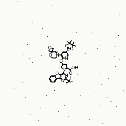 C[C@@H]1N(c2cc(B3OC(C)(C)C(C)(C)O3)cnc2O[C@H]2CC(C(=O)O)N(c3nc(C(F)(F)F)nc4c3oc3ccccc34)C2)CCOC12COC2